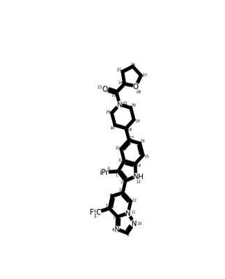 CC(C)c1c(-c2cc(C(F)(F)F)c3ncnn3c2)[nH]c2ccc(C3CCN(C(=O)C4CCCO4)CC3)cc12